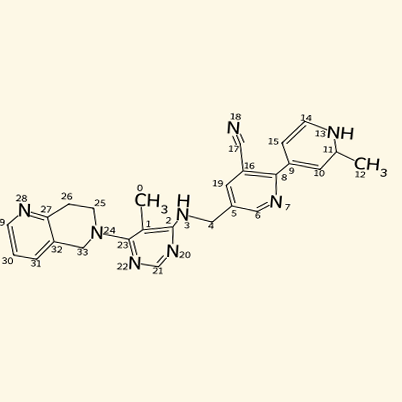 Cc1c(NCc2cnc(C3=CC(C)NC=C3)c(C#N)c2)ncnc1N1CCc2ncccc2C1